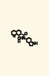 O=C(Nc1ccc2[nH]ccc2c1)c1ccc2cccnc2c1O